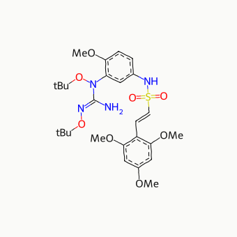 COc1cc(OC)c(/C=C/S(=O)(=O)Nc2ccc(OC)c(N(OC(C)(C)C)/C(N)=N/OC(C)(C)C)c2)c(OC)c1